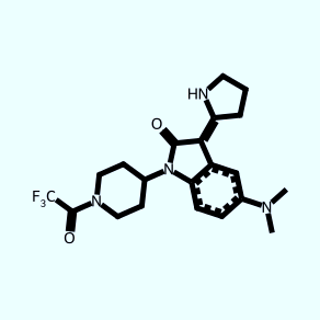 CN(C)c1ccc2c(c1)/C(=C1\CCCN1)C(=O)N2C1CCN(C(=O)C(F)(F)F)CC1